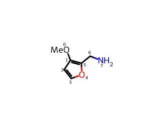 COc1ccoc1CN